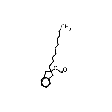 CCCCCCCCCCC1(OC=O)Cc2ccccc2C1